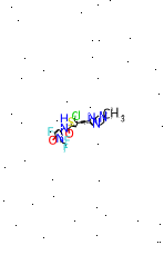 CN1CCn2cc(C#Cc3cc(C(=O)Nc4cc(F)c(=O)n(CC(F)F)c4)sc3Cl)nc2C1